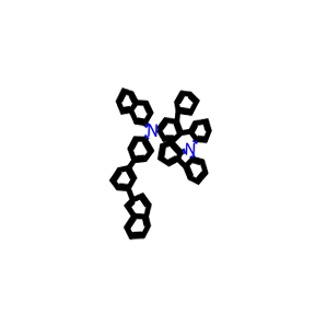 c1ccc(-c2cc(N(c3ccc(-c4cccc(-c5ccc6ccccc6c5)c4)cc3)c3ccc4ccccc4c3)ccc2-c2ccccc2-n2c3ccccc3c3ccccc32)cc1